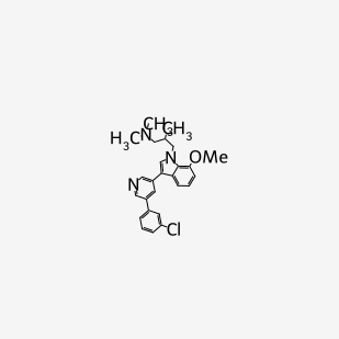 COc1cccc2c(-c3cncc(-c4cccc(Cl)c4)c3)cn(CC(C)CN(C)C)c12